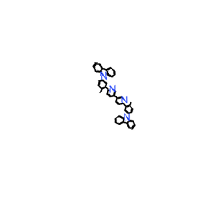 Cc1ccc(-n2c3ccccc3c3ccccc32)cc1-c1ccc(-c2ccc(-c3cc(-n4c5ccccc5c5ccccc54)ccc3C)nc2)cn1